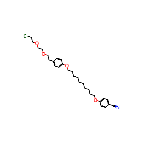 N#Cc1ccc(OCCCCCCCCCCOc2ccc(CCOCCOCCCl)cc2)cc1